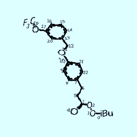 CCC(C)OOC(=O)CCc1ccc(OCc2cccc(OC(F)(F)F)c2)cc1